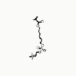 C=C(C)C(=O)OCCCCCCOP(=O)([O-])OCC[N+](C)(C)C